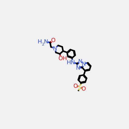 CS(=O)(=O)c1ccc(-c2cccn3nc(Nc4cccc(C5CCN(CC(N)=O)CC5O)c4)nc23)cc1